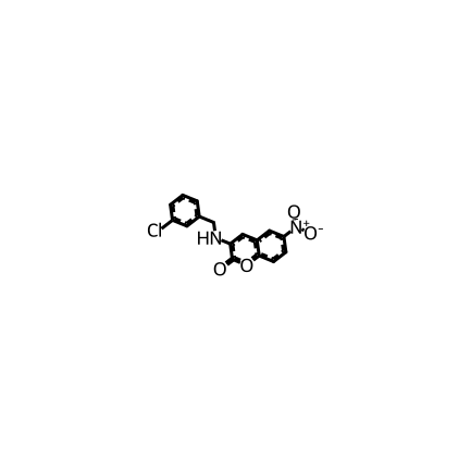 O=c1oc2ccc([N+](=O)[O-])cc2cc1NCc1cccc(Cl)c1